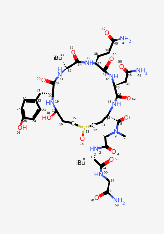 CC[C@H](C)[C@H](NC(=O)CN(C)C(=O)[C@@H]1CC[S+]([O-])CCC(O)N[C@H](Cc2ccc(O)cc2)C(=O)N[C@@H]([C@@H](C)CC)C(=O)N[C@@H](CCC(N)=O)C(=O)N[C@@H](CC(N)=O)C(=O)N1)C(=O)NCC(N)=O